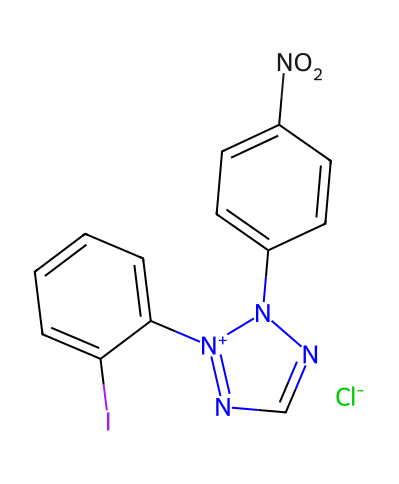 O=[N+]([O-])c1ccc(-n2ncn[n+]2-c2ccccc2I)cc1.[Cl-]